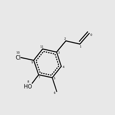 C=CCc1cc(C)c(O)c(Cl)c1